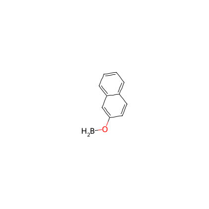 BOc1ccc2ccccc2c1